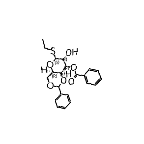 CCS[C@@H]1O[C@@H]2COC(c3ccccc3)O[C@@H]2[C@H](OC(=O)c2ccccc2)[C@H]1O